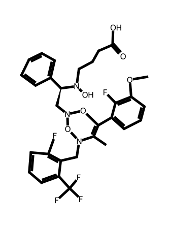 COc1cccc(-c2on(C[C@@H](c3ccccc3)N(O)CCCC(=O)O)on(Cc3c(F)cccc3C(F)(F)F)c2C)c1F